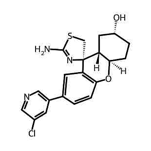 NC1=N[C@]2(CS1)c1cc(-c3cncc(Cl)c3)ccc1O[C@@H]1CC[C@@H](O)C[C@H]12